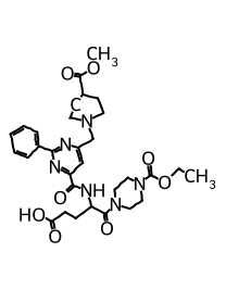 CCOC(=O)N1CCN(C(=O)C(CCC(=O)O)NC(=O)c2cc(CN3CCC(C(=O)OC)CC3)nc(-c3ccccc3)n2)CC1